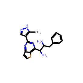 Cc1[nH]ncc1-c1nc(C(N)C(N)Cc2ccccc2)c2sccc2n1